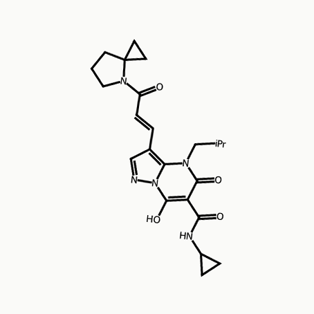 CC(C)Cn1c(=O)c(C(=O)NC2CC2)c(O)n2ncc(C=CC(=O)N3CCCC34CC4)c12